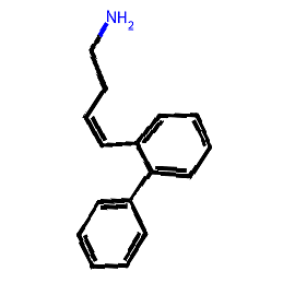 NCC/C=C\c1ccccc1-c1ccccc1